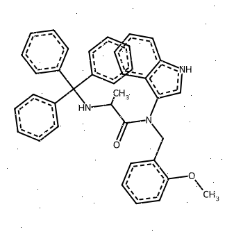 COc1ccccc1CN(C(=O)C(C)NC(c1ccccc1)(c1ccccc1)c1ccccc1)c1c[nH]c2ccccc12